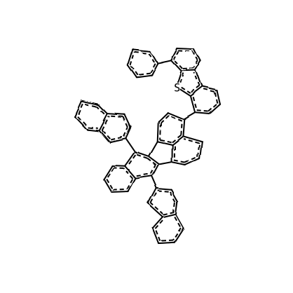 c1ccc(-c2cccc3c2sc2c(-c4ccc5c6c(cccc46)-c4c-5c(-c5ccc6ccccc6c5)c5ccccc5c4-c4ccc5ccccc5c4)cccc23)cc1